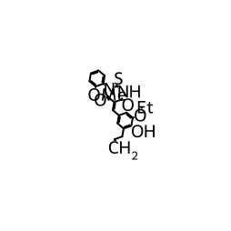 C=CCc1cc(/C=C2\C(=O)NC(=S)N(c3ccccc3OC)C2=O)cc(OCC)c1O